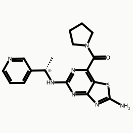 C[C@H](Nc1nc(C(=O)N2CCCC2)c2sc(N)nc2n1)c1cccnc1